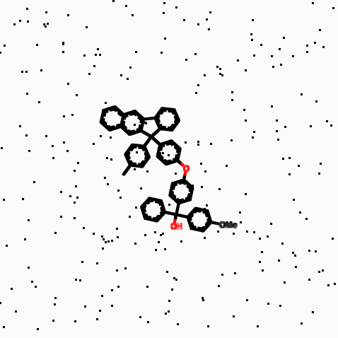 COc1ccc(C(O)(c2ccccc2)c2ccc(Oc3ccc(C4(c5ccc(C)cc5)c5ccccc5-c5cc6ccccc6cc54)cc3)cc2)cc1